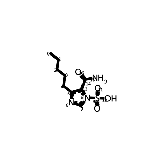 CCCCCc1ncn(S(=O)(=O)O)c1C(N)=O